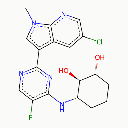 Cn1cc(-c2ncc(F)c(N[C@H]3CCC[C@@H](O)[C@@H]3O)n2)c2cc(Cl)cnc21